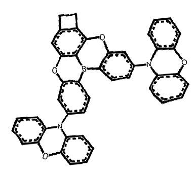 c1ccc2c(c1)Oc1ccccc1N2c1ccc2c(c1)Oc1cc3c(c4c1B2c1ccc(N2c5ccccc5Oc5ccccc52)cc1O4)CC3